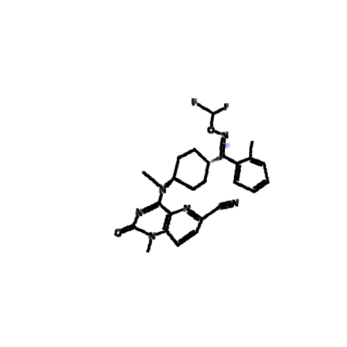 Cc1ccccc1/C(=N/OC(F)F)[C@H]1CC[C@H](N(C)c2nc(=O)n(C)c3ccc(C#N)nc23)CC1